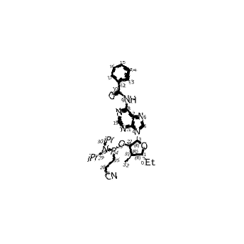 CC[C@H]1O[C@@H](n2cnc3c(NC(=O)c4ccccc4)ncnc32)[C@H](OP(CCC#N)N(C(C)C)C(C)C)[C@@H]1C